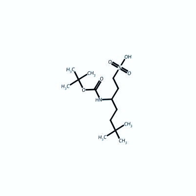 CC(C)(C)CCC(CCS(=O)(=O)O)NC(=O)OC(C)(C)C